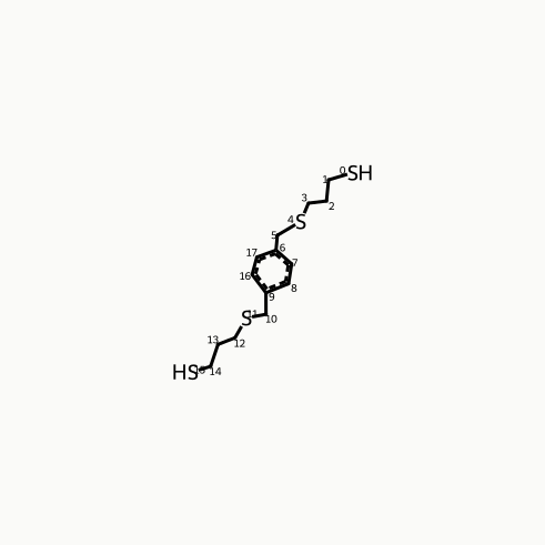 SCCCSCc1ccc(CSCCCS)cc1